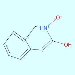 [O-][NH+]1Cc2ccccc2[C]=C1O